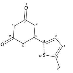 Cc1ccc(C2CC(=O)CC(=O)C2)s1